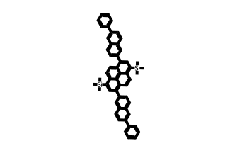 C[Si](C)(C)c1cc(-c2ccc3cc(-c4ccccc4)ccc3c2)c2ccc3c([Si](C)(C)C)cc(-c4ccc5cc(-c6ccccc6)ccc5c4)c4ccc1c2c43